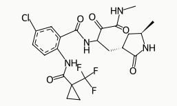 CNC(=O)C(=O)C(C[C@@H]1C[C@@H](C)NC1=O)NC(=O)c1cc(Cl)ccc1NC(=O)C1(C(F)(F)F)CC1